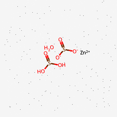 O.O=S(O)O.O=S([O-])[O-].[Zn+2]